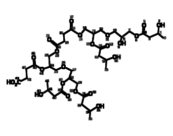 CC(O)CC(=O)OCC(O)COCC(COC(=O)CCC(=O)OCC(COCC(COC(=O)CC(C)O)OC(=O)CC(C)O)OC(=O)CCC(=O)O)OC(=O)CC(C)O